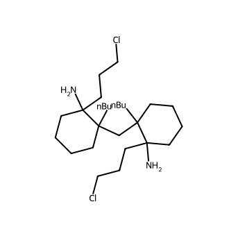 CCCCC1(CC2(CCCC)CCCCC2(N)CCCCl)CCCCC1(N)CCCCl